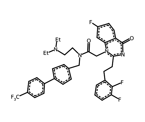 CCN(CC)CCN(Cc1ccc(-c2ccc(C(F)(F)F)cc2)cc1)C(=O)Cn1c(CCc2cccc(F)c2F)nc(=O)c2ccc(F)cc21